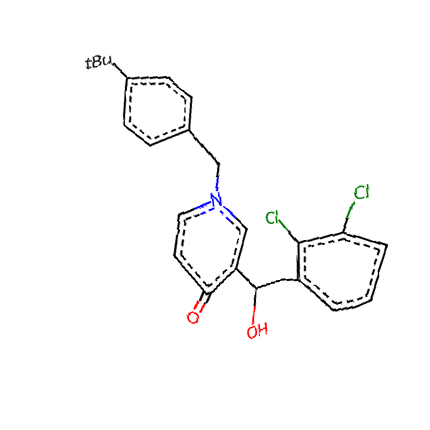 CC(C)(C)c1ccc(Cn2ccc(=O)c(C(O)c3cccc(Cl)c3Cl)c2)cc1